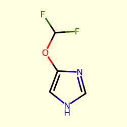 FC(F)Oc1c[nH]cn1